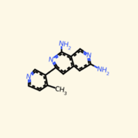 Cc1ccncc1-c1cc2cc(N)ncc2c(N)n1